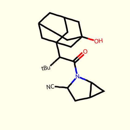 CC(C)(C)C(C(=O)N1C(C#N)CC2CC21)C12CC3CC(CC(O)(C3)C1)C2